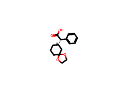 O=C(O)C(c1ccccc1)[C@H]1CCCC2(C1)OCCO2